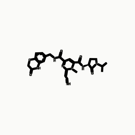 CC(C)N1CC[C@H](NC(=O)C2=CC(C(=O)NCc3ccc4c(c3)NC(=O)CO4)=N/C(=C/C=N)N2C)C1=O